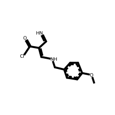 COc1ccc(CN/C=C(\C=N)C(=O)Cl)cc1